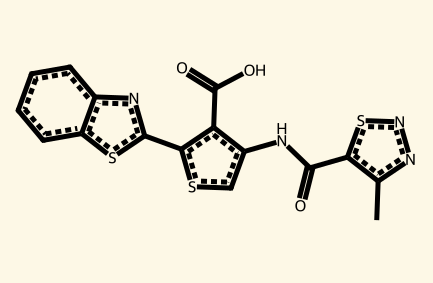 Cc1nnsc1C(=O)Nc1csc(-c2nc3ccccc3s2)c1C(=O)O